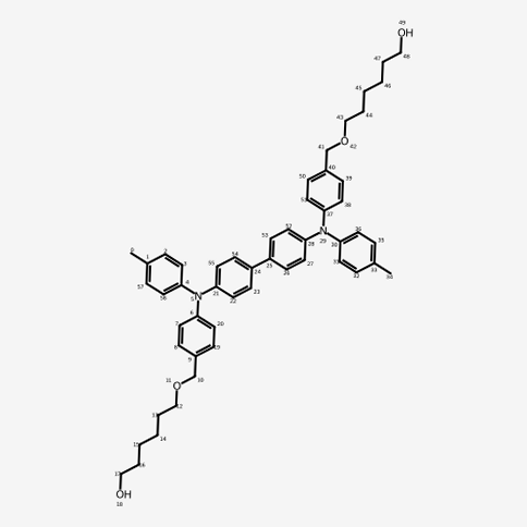 Cc1ccc(N(c2ccc(COCCCCCCO)cc2)c2ccc(-c3ccc(N(c4ccc(C)cc4)c4ccc(COCCCCCCO)cc4)cc3)cc2)cc1